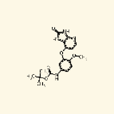 COc1ccc(NC(=O)OC(C)(C)C)cc1Oc1ccnc2[nH]c(=O)[nH]c12